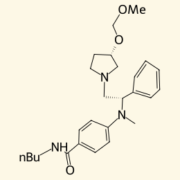 CCCCNC(=O)c1ccc(N(C)[C@H](CN2CC[C@H](OCOC)C2)c2ccccc2)cc1